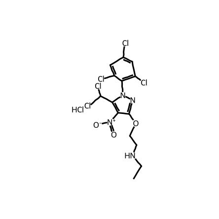 CCNCCOc1nn(-c2c(Cl)cc(Cl)cc2Cl)c(C(Cl)Cl)c1[N+](=O)[O-].Cl